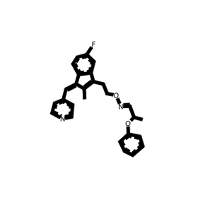 CC1=C(CCON=CC(C)Oc2ccccc2)c2cc(F)ccc2C1=Cc1ccncc1